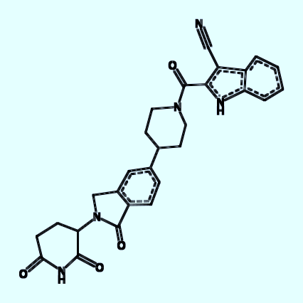 N#Cc1c(C(=O)N2CCC(c3ccc4c(c3)CN(C3CCC(=O)NC3=O)C4=O)CC2)[nH]c2ccccc12